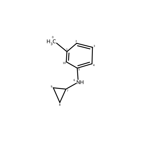 Cc1cccc(NC2CC2)c1